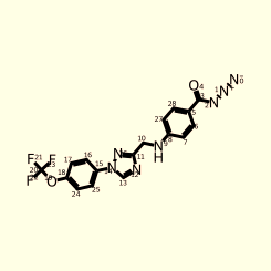 [N-]=[N+]=NC(=O)c1ccc(NCc2ncn(-c3ccc(OC(F)(F)F)cc3)n2)cc1